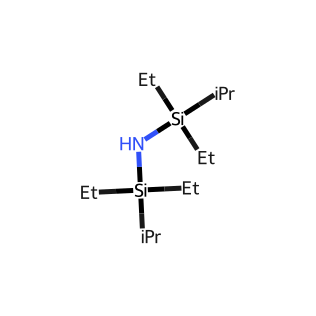 CC[Si](CC)(N[Si](CC)(CC)C(C)C)C(C)C